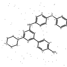 Nc1ncc(-c2cc(Nc3ccc(Oc4ccccc4)nc3)nc(N3CCOCC3)n2)cn1